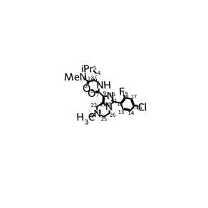 CNC(=O)[C@H](CC(C)C)NC(=O)c1nc(-c2ccc(Cl)cc2F)n2c1CN(C)CC2